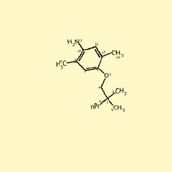 CCCC(C)(C)COc1cc(C)c(N)cc1C